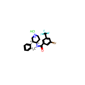 CN(C(=O)c1cc(Br)cc(C(F)(F)F)c1)[C@@H]1CCNC[C@H]1c1ccccc1.Cl